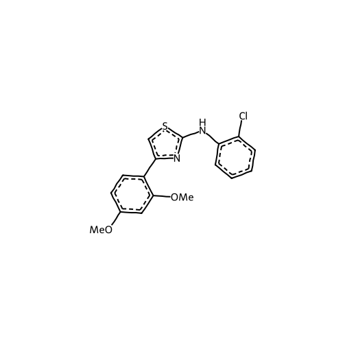 COc1ccc(-c2csc(Nc3ccccc3Cl)n2)c(OC)c1